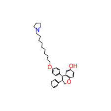 Oc1ccc2c(c1)[C@H](c1ccc(OCCCCCCCCCCN3CCCC3)cc1)[C@H](c1ccccc1)CO2